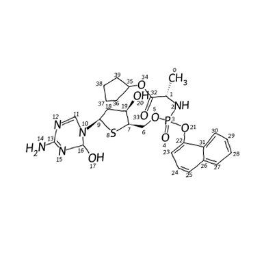 C[C@H](NP(=O)(OC[C@H]1S[C@@H](N2C=NC(N)=NC2O)C[C@H]1O)Oc1cccc2ccccc12)C(=O)OC1CCCC1